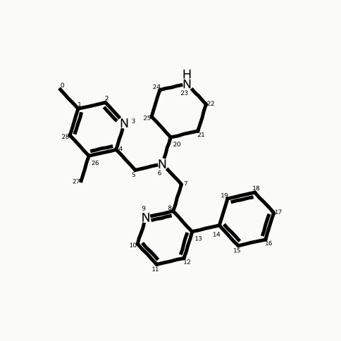 Cc1cnc(CN(Cc2ncccc2-c2ccccc2)C2CCNCC2)c(C)c1